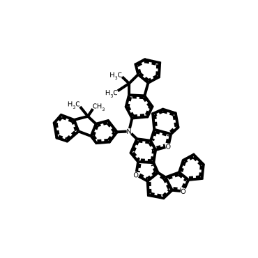 CC1(C)c2ccccc2-c2ccc(N(c3ccc4c(c3)C(C)(C)c3ccccc3-4)c3cc4oc5ccc6oc7ccccc7c6c5c4c4oc5ccccc5c34)cc21